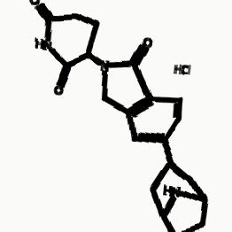 Cl.O=C1CCC(N2Cc3cc(C4CC5CCC(C4)N5)ccc3C2=O)C(=O)N1